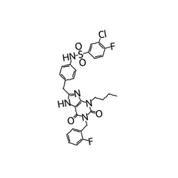 CCCCn1c(=O)n(Cc2ccccc2F)c(=O)c2[nH]c(Cc3ccc(NS(=O)(=O)c4ccc(F)c(Cl)c4)cc3)nc21